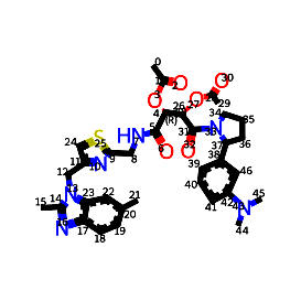 CC(=O)O[C@@H](C(=O)NCc1nc(Cn2c(C)nc3ccc(C)cc32)cs1)[C@@H](OC(C)=O)C(=O)N1CCCC1c1cccc(N(C)C)c1